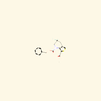 COC(=O)c1scc2c1N(C(=O)OCc1ccccc1)CC(F)(F)C2